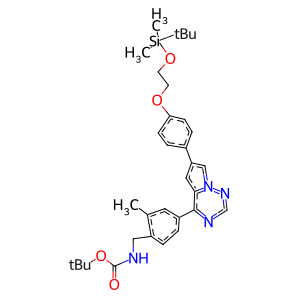 Cc1cc(-c2ncnn3cc(-c4ccc(OCCO[Si](C)(C)C(C)(C)C)cc4)cc23)ccc1CNC(=O)OC(C)(C)C